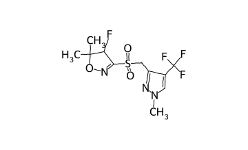 Cn1cc(C(F)(F)F)c(CS(=O)(=O)C2=NOC(C)(C)C2F)n1